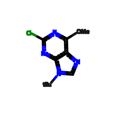 COc1nc(Cl)nc2c1ncn2C(C)(C)C